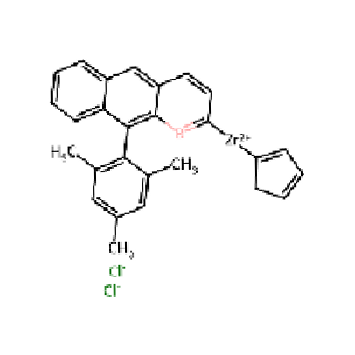 Cc1cc(C)c(-c2c3b[c]([Zr+2][C]4=CC=CC4)ccc3cc3ccccc23)c(C)c1.[Cl-].[Cl-]